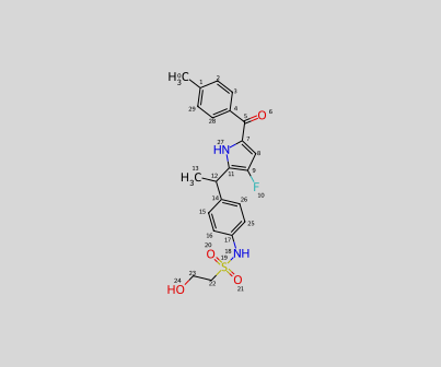 Cc1ccc(C(=O)c2cc(F)c(C(C)c3ccc(NS(=O)(=O)CCO)cc3)[nH]2)cc1